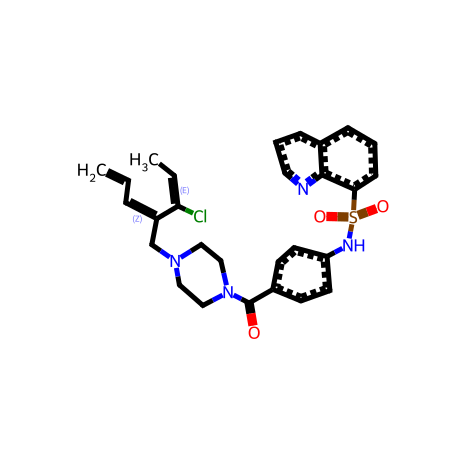 C=C/C=C(CN1CCN(C(=O)c2ccc(NS(=O)(=O)c3cccc4cccnc34)cc2)CC1)\C(Cl)=C/C